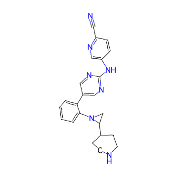 N#Cc1ccc(Nc2ncc(-c3ccccc3N3CC3C3CCNCC3)cn2)cn1